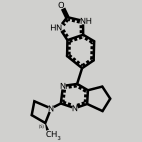 C[C@H]1CCN1c1nc2c(c(-c3ccc4[nH]c(=O)[nH]c4c3)n1)CCC2